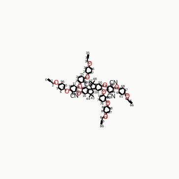 C#CCOc1ccc(Oc2cccc(Oc3cc4c(cc3Oc3cccc(Oc5ccc(OCC#C)cc5)c3C#N)C3(CC4(C)C)CC(C)(C)c4cc(Oc5cccc(Oc6ccc(OCC#C)cc6)c5C#N)c(Oc5cccc(Oc6ccc(OCC#C)cc6)c5C#N)cc43)c2C#N)cc1